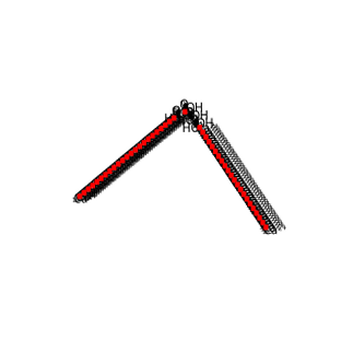 O=C(O)O.O=C(O)O.O=C(O)O.O=C(O)O.[Ca+2].[Ca+2].[Ca+2].[Ca+2].[Ca+2].[Ca+2].[Ca+2].[Ca+2].[Ca+2].[Ca+2].[Ca+2].[Ca+2].[Ca+2].[Ca+2].[Ca+2].[Ca+2].[Ca+2].[Ca+2].[Ca+2].[Ca+2].[Ca+2].[Ca+2].[Ca+2].[Ca+2].[Ca+2].[Ca+2].[Ca+2].[Ca+2].[Ca+2].[Ca+2].[Ca+2].[Ca+2].[Ca+2].[Ca+2].[Ca+2].[Ca+2].[Ca+2].[Ca+2].[Ca+2].[Ca+2].[Ca+2].[Ca+2].[Ca+2].[Ca+2].[Ca+2].[Ca+2].[Ca+2].[Ca+2].[Ca+2].[Ca+2].[Ca+2].[Ca+2].[Ca+2].[Ca+2].[Ca+2].[Ca+2].[Ca+2].[Ca+2].[Ca+2].[Ca+2].[Ca+2].[Ca+2].[Ca+2].[Ca+2].[Ca+2].[Ca+2].[Ca+2].[Ca+2].[Ca+2].[Ca+2].[Ca+2].[Ca+2].[Ca+2].[Ca+2].[Ca+2].[Ca+2].[Ca+2].[Ca+2].[Ca+2].[Ca+2].[Ca+2].[Ca+2].[Ca+2].[Ca+2].[Ca+2].[Ca+2].[Ca+2].[Ca+2].[Ca+2].[Ca+2]